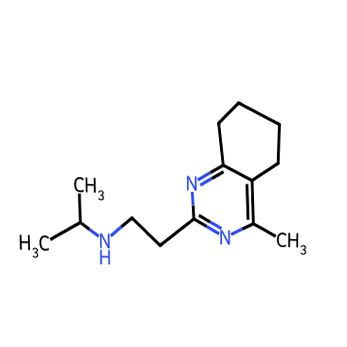 Cc1nc(CCNC(C)C)nc2c1CCCC2